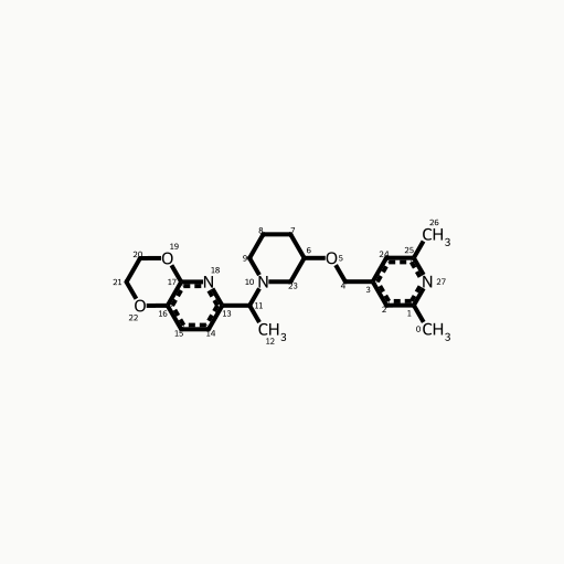 Cc1cc(COC2CCCN(C(C)c3ccc4c(n3)OCCO4)C2)cc(C)n1